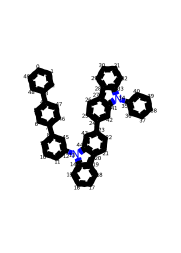 c1ccc(-c2ccc(-c3cccc(-n4c5ccccc5c5ccc(-c6ccc7c8ccccc8n(-c8ccccc8)c7c6)cc54)c3)cc2)cc1